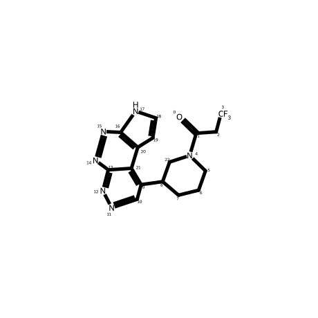 O=C(CC(F)(F)F)N1CCCC(c2cnnc3nnc4[nH]ccc4c23)C1